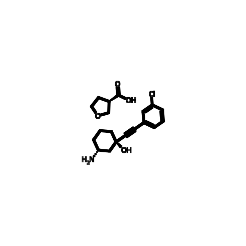 N[C@@H]1CCC[C@](O)(C#Cc2cccc(Cl)c2)C1.O=C(O)[C@@H]1CCOC1